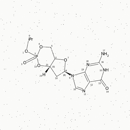 CC(C)OP1(=O)OCC2O[C@@H](n3cnc4c(=O)[nH]c(N)nc43)C[C@@H]2O1